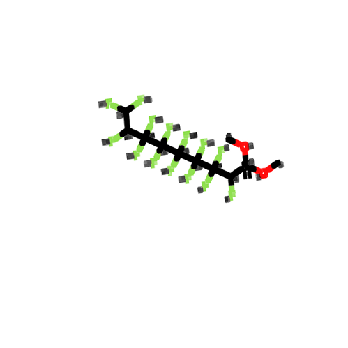 CO[SiH](OC)C(F)C(F)(F)C(F)(F)C(F)(F)C(F)(F)C(F)(F)C(F)C(F)F